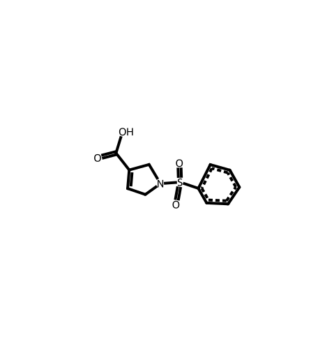 O=C(O)C1=CCN(S(=O)(=O)c2ccccc2)C1